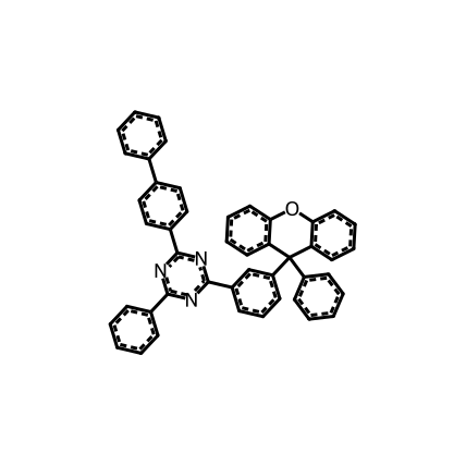 c1ccc(-c2ccc(-c3nc(-c4ccccc4)nc(-c4cccc(C5(c6ccccc6)c6ccccc6Oc6ccccc65)c4)n3)cc2)cc1